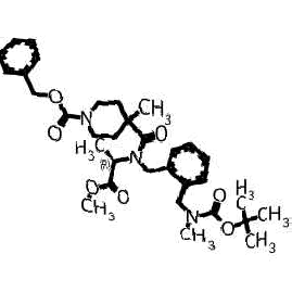 COC(=O)[C@@H](C)N(Cc1ccccc1CN(C)C(=O)OC(C)(C)C)C(=O)C1(C)CCN(C(=O)OCc2ccccc2)CC1